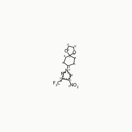 O=[N+]([O-])c1cn(C2CCC3(CC2)OCCO3)nc1C(F)(F)F